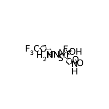 N[C@H](CNc1nc(C(F)(F)CO)c(-c2ccc3[nH]c(=O)oc3c2)s1)Cc1ccc(C(F)(F)F)cc1